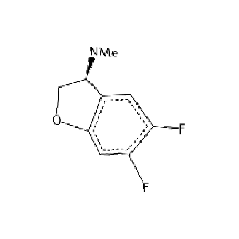 CN[C@@H]1COc2cc(F)c(F)cc21